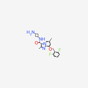 Cc1cc(OCc2c(F)cccc2F)c2nc(C)c(C(=O)NC3CC(N)C3)n2c1